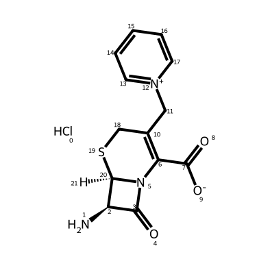 Cl.N[C@@H]1C(=O)N2C(C(=O)[O-])=C(C[n+]3ccccc3)CS[C@H]12